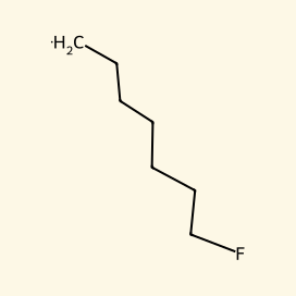 [CH2]CCCCCCF